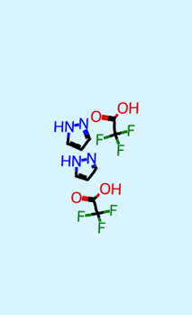 O=C(O)C(F)(F)F.O=C(O)C(F)(F)F.c1cn[nH]c1.c1cn[nH]c1